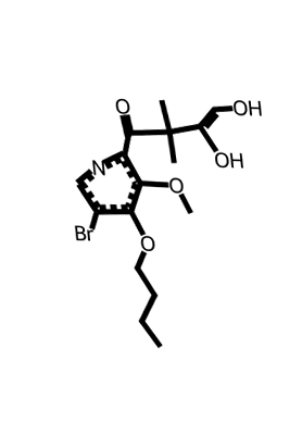 CCCCOc1c(Br)cnc(C(=O)C(C)(C)/C(O)=C/O)c1OC